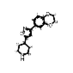 c1cc2c(cc1-c1cc(C3CCNCC3)on1)OCCO2